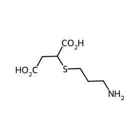 NCCCSC(CC(=O)O)C(=O)O